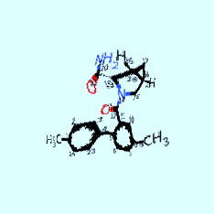 Cc1ccc(-c2ccc(C)cc2C(=O)N2C[C@H]3C[C@H]3[C@H]2C(N)=O)cc1